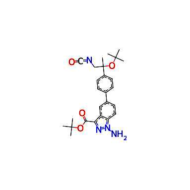 CC(C)(C)OC(=O)c1nn(N)c2ccc(-c3ccc(C(C)(CN=C=O)OC(C)(C)C)cc3)cc12